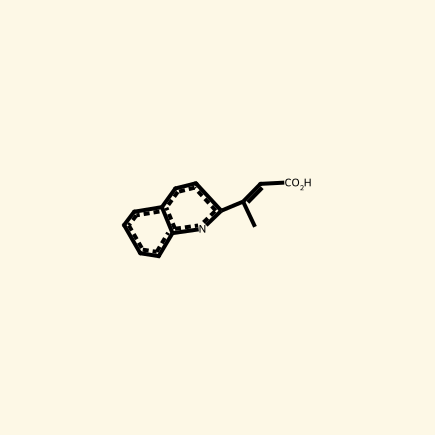 C/C(=C\C(=O)O)c1ccc2ccccc2n1